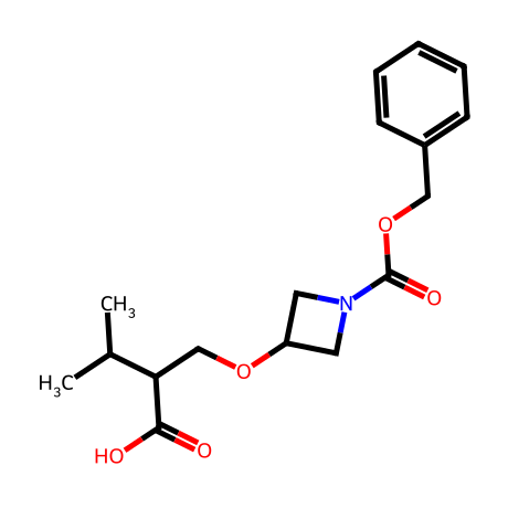 CC(C)C(COC1CN(C(=O)OCc2ccccc2)C1)C(=O)O